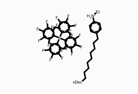 CCCCCCCCCCCCCCCCCCCc1ccc([NH2+]CC)cc1.Fc1c(F)c(F)c([B-](c2c(F)c(F)c(F)c(F)c2F)(c2c(F)c(F)c(F)c(F)c2F)c2c(F)c(F)c(F)c(F)c2F)c(F)c1F